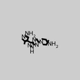 Cc1cnc(N)cc1-c1n[nH]c2nc(N3CCC(C)(N)CC3)cnc12